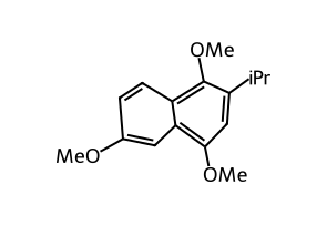 COc1ccc2c(OC)c(C(C)C)cc(OC)c2c1